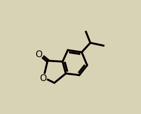 CC(C)c1ccc2c(c1)C(=O)OC2